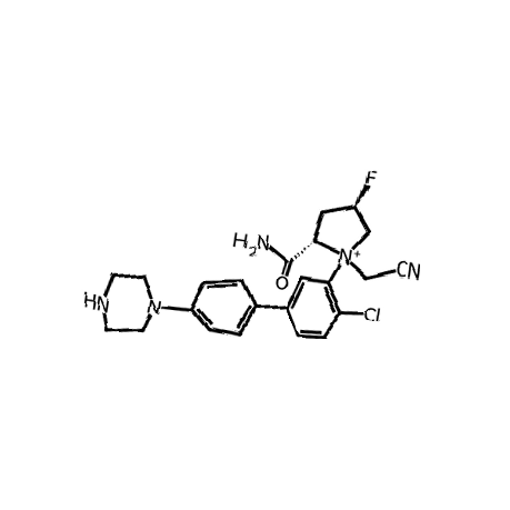 N#CC[N+]1(c2cc(-c3ccc(N4CCNCC4)cc3)ccc2Cl)C[C@H](F)C[C@H]1C(N)=O